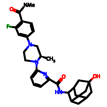 CNC(=O)c1ccc(N2CCN(c3cccc(C(=O)NC4C5CC6CC4CC(O)(C6)C5)n3)[C@H](C)C2)cc1F